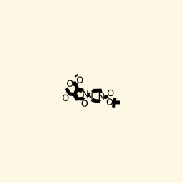 COC(=O)c1cn(N2CCN(C(=O)OC(C)(C)C)CC2)c(=O)cc1C(C)=O